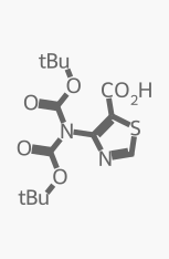 CC(C)(C)OC(=O)N(C(=O)OC(C)(C)C)c1ncsc1C(=O)O